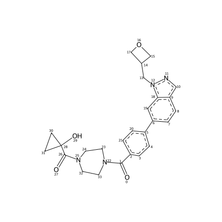 O=C(c1ccc(-c2ccc3cnn(CC4COC4)c3c2)cc1)N1CCN(C(=O)C2(O)CC2)CC1